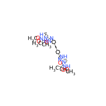 CC[C@@H](C)[C@H](NC(=O)OC)C(=O)N1CCC[C@H]1c1ncc(-c2ccc(C#Cc3ccc4nc([C@@H]5CC6(CC6)CN5C(=O)[C@H](NC(=O)OC)C(C)C)[nH]c4c3)cc2)[nH]1